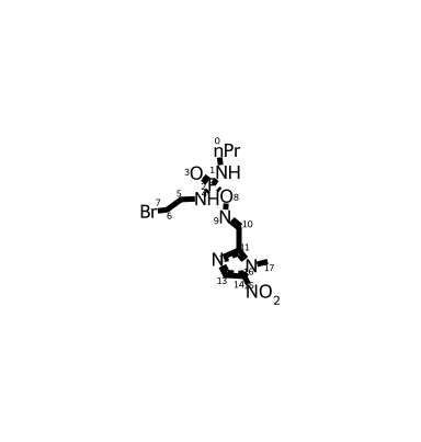 CCCNP(=O)(NCCBr)O/N=C/c1ncc([N+](=O)[O-])n1C